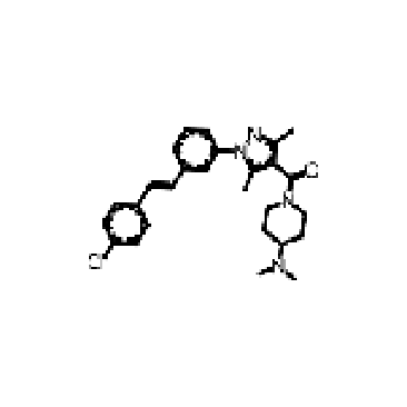 Cc1nn(-c2cccc(C=Cc3ccc(Cl)cc3)c2)c(C)c1C(=O)N1CCC(N(C)C)CC1